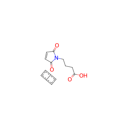 O=C(O)CCCN1C(=O)C=CC1=O.c1cc2ccc1-2